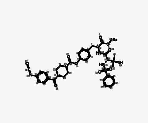 CC(C)(C)OC(=O)[C@H](Cc1ccc(OC(=O)N2CCN(C(=O)c3ccc(N=C=O)cc3)CC2)cc1)NC(=O)[C@@H](NS(=O)(=O)c1cccnc1)C(C)(C)S